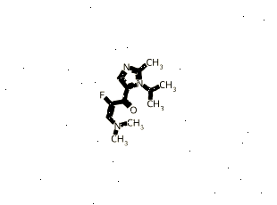 Cc1ncc(C(=O)/C(F)=C\N(C)C)n1C(C)C